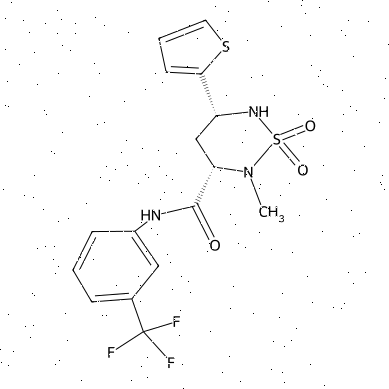 CN1[C@H](C(=O)Nc2cccc(C(F)(F)F)c2)C[C@H](c2cccs2)NS1(=O)=O